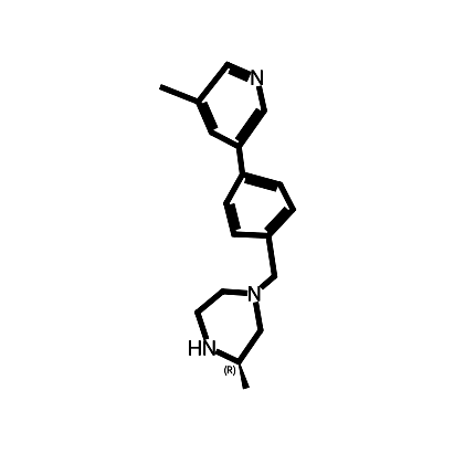 Cc1cncc(-c2ccc(CN3CCN[C@H](C)C3)cc2)c1